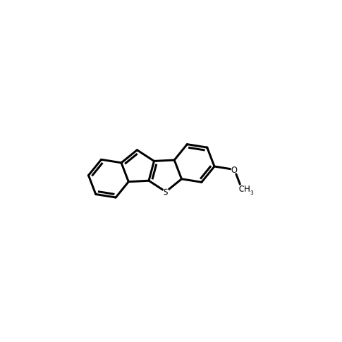 COC1=CC2SC3=C(C=C4C=CC=CC43)C2C=C1